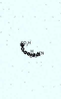 Cc1cc(O[C@H]2C(C)(C)[C@H](NC(=O)c3ccc(N4CCC(CN5CCN(c6cnc(C(=O)O)nc6)CC5)CC4)cc3)C2(C)C)cc(C)c1C#N